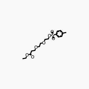 CCOC(=O)CCOCCOCCOS(=O)(=O)c1ccc(C)cc1